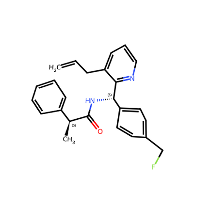 C=CCc1cccnc1[C@@H](NC(=O)[C@@H](C)c1ccccc1)c1ccc(CF)cc1